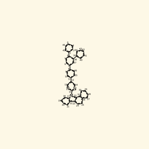 c1ccc(-c2ccc(-c3ccc(-c4cnc(-n5c6ccccc6c6ccc7ccccc7c65)nc4)cc3)cc2-c2ccccc2)cc1